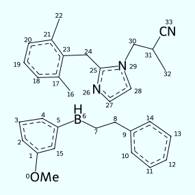 COc1cccc(BCCc2ccccc2)c1.Cc1cccc(C)c1Cc1nccn1CC(C)C#N